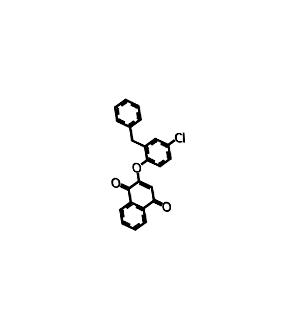 O=C1C=C(Oc2ccc(Cl)cc2Cc2ccccc2)C(=O)c2ccccc21